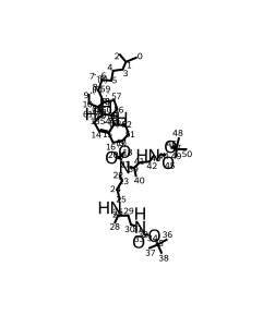 CC(C)CCC[C@@H](C)[C@H]1CC[C@H]2[C@@H]3CC=C4C[C@@H](OC(=O)N(CCCCNC(C)CCNC(=O)OC(C)(C)C)C(C)CCNC(=O)OC(C)(C)C)CC[C@]4(C)[C@H]3CC[C@]12C